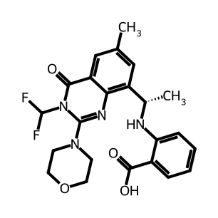 Cc1cc([C@H](C)Nc2ccccc2C(=O)O)c2nc(N3CCOCC3)n(C(F)F)c(=O)c2c1